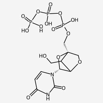 O=c1ccn([C@@H]2O[C@@]3(COP(=O)(O)OP(=O)(O)OP(=O)(O)O)COC2C3CO)c(=O)[nH]1